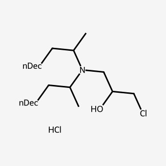 CCCCCCCCCCCC(C)N(CC(O)CCl)C(C)CCCCCCCCCCC.Cl